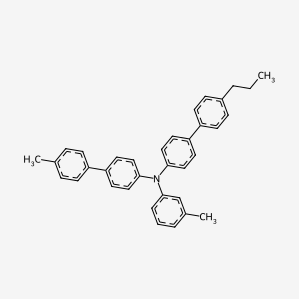 CCCc1ccc(-c2ccc(N(c3ccc(-c4ccc(C)cc4)cc3)c3cccc(C)c3)cc2)cc1